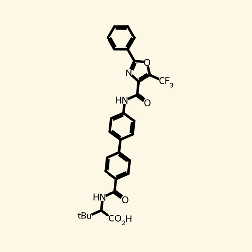 CC(C)(C)C(NC(=O)c1ccc(-c2ccc(NC(=O)c3nc(-c4ccccc4)oc3C(F)(F)F)cc2)cc1)C(=O)O